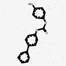 CCCCc1ccc(OC(=O)Oc2ccc(-c3ccccc3)cc2)cc1